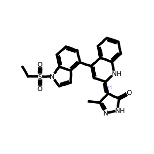 CCS(=O)(=O)n1ccc2c(C3=C/C(=C4/C(=O)NN=C4C)Nc4ccccc43)cccc21